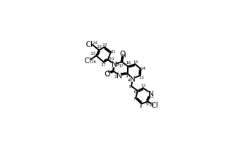 O=c1nc2n(Cc3ccc(Cl)nc3)cccc-2c(=O)n1-c1ccc(Cl)c(Cl)c1